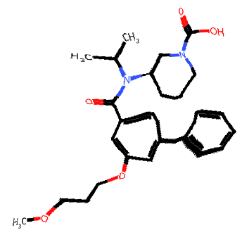 COCCCOc1cc(C(=O)N(C(C)C)[C@@H]2CCCN(C(=O)O)C2)cc(-c2ccccc2)c1